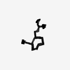 FC(Br)Cc1cc[c]cc1Br